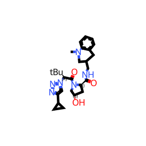 CN1CC(CNC(=O)[C@H]2C[C@H](O)CN2C(=O)[C@H](n2cc(C3CC3)nn2)C(C)(C)C)Cc2ccccc21